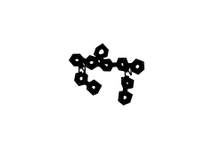 c1ccc(-c2ccc(-n3c4ccccc4c4ccc(-c5ccc6c(c5)C5(CCCCC5)c5cc7c8ccccc8n(-c8cccc(-c9ccccc9)c8)c7cc5-6)cc43)cc2)cc1